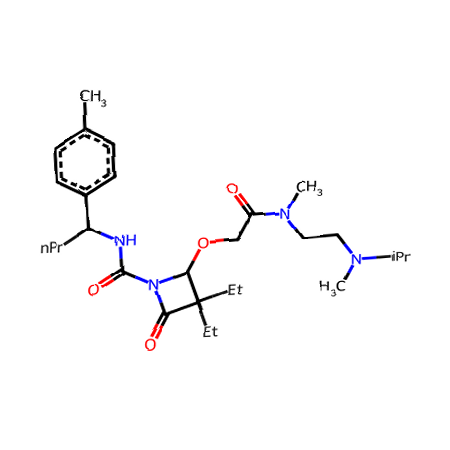 CCCC(NC(=O)N1C(=O)C(CC)(CC)C1OCC(=O)N(C)CCN(C)C(C)C)c1ccc(C)cc1